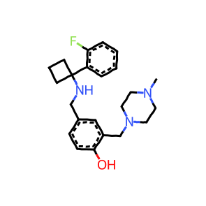 CN1CCN(Cc2cc(CNC3(c4ccccc4F)CCC3)ccc2O)CC1